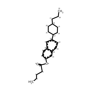 CCCCC(=O)Oc1ccc2cc(C3CCC(CCC)CC3)ccc2c1